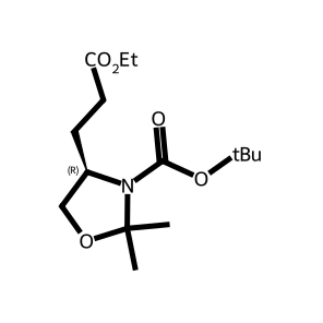 CCOC(=O)CC[C@@H]1COC(C)(C)N1C(=O)OC(C)(C)C